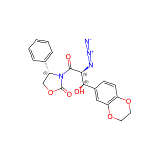 [N-]=[N+]=N[C@H](C(=O)N1C(=O)OC[C@@H]1c1ccccc1)[C@H](O)c1ccc2c(c1)OCCO2